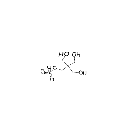 O=[SH](=O)OCC(CO)(CO)CO